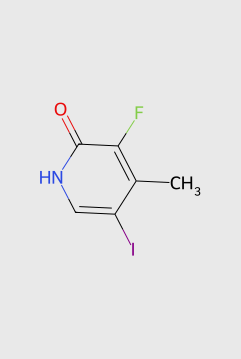 Cc1c(I)c[nH]c(=O)c1F